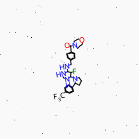 O=C(c1ccc(CNC2NCNC(N3CCCC3c3ccc(C(F)(F)F)cc3)C2F)cc1)N1CCOCC1